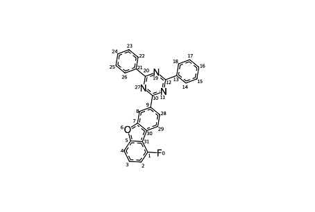 Fc1cccc2oc3cc(-c4nc(-c5ccccc5)nc(-c5ccccc5)n4)ccc3c12